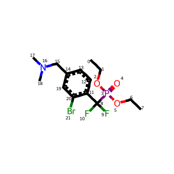 CCOP(=O)(OCC)C(F)(F)c1ccc(CN(C)C)cc1Br